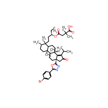 CC[C@H](CC[C@]1(C)C2CC[C@@H]3C4=C(C(C)C)C(=O)C[C@]4(c4nnc(-c5ccc(Br)cc5)o4)CC[C@@]3(C)[C@]2(C)CC[C@H]1C)OC(=O)CC(C)(C)C(=O)O